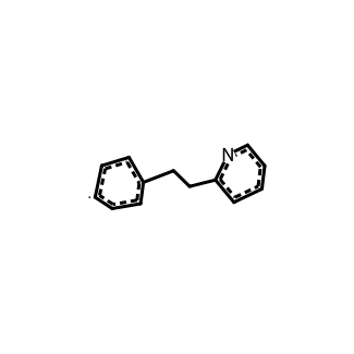 [c]1ccc(CCc2ccccn2)cc1